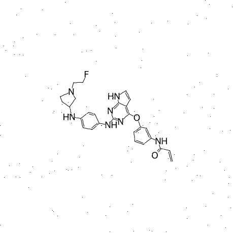 C=CC(=O)Nc1cccc(Oc2nc(Nc3ccc(NC4CCN(CCF)C4)cc3)nc3[nH]ccc23)c1